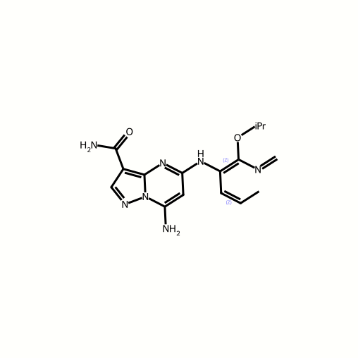 C=N/C(OC(C)C)=C(\C=C/C)Nc1cc(N)n2ncc(C(N)=O)c2n1